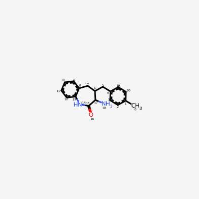 Cc1ccc(CC2Cc3ccccc3NC(=O)C2N)cc1